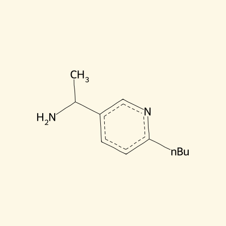 CCCCc1ccc(C(C)N)cn1